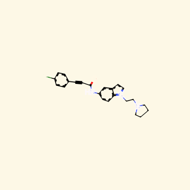 O=C(C#Cc1ccc(Cl)cc1)Nc1ccc2c(ccn2CCN2CCCC2)c1